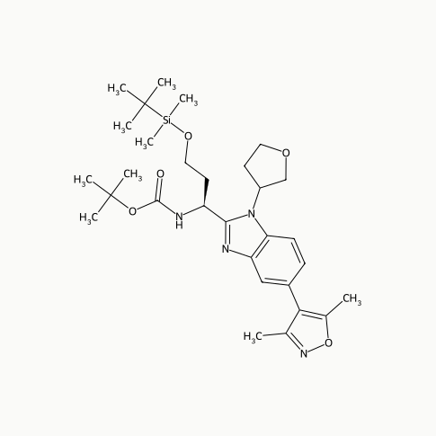 Cc1noc(C)c1-c1ccc2c(c1)nc([C@H](CCO[Si](C)(C)C(C)(C)C)NC(=O)OC(C)(C)C)n2C1CCOC1